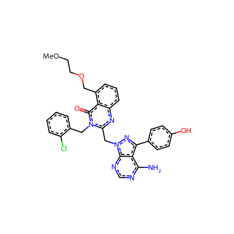 COCCOCc1cccc2nc(Cn3nc(-c4ccc(O)cc4)c4c(N)ncnc43)n(Cc3ccccc3Cl)c(=O)c12